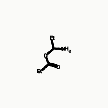 CCC(=O)OC(N)CC